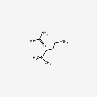 CN(C)CCCN.NC(=O)O